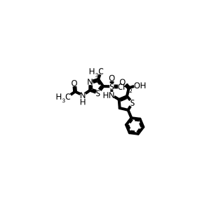 C=S(=O)(NC1=C(C(=O)O)SC(c2ccccc2)C1)c1sc(NC(C)=O)nc1C